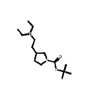 CCN(CC)CCC1CCN(C(=O)OC(C)(C)C)C1